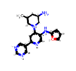 CC1CC(N)CN(c2cc(-c3cncnc3)ncc2Nc2ccco2)C1